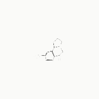 I.O=[N+]([O-])c1ccc2c(c1)C1CCCN1CC2